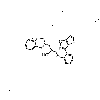 OC(COc1ccccc1-c1noc2ccsc12)CN1CCc2ccccc2C1